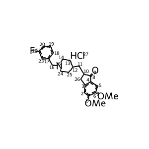 COc1cc2c(cc1OC)C(=O)C(CC1CCN(Cc3cccc(F)c3)CC1)C2.Cl